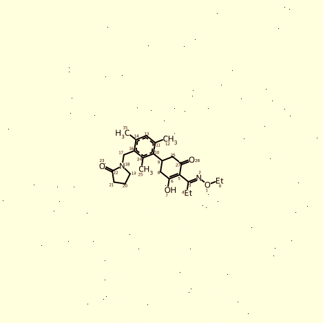 CCON=C(CC)C1=C(O)CC(c2c(C)cc(C)c(CN3CCCC3=O)c2C)CC1=O